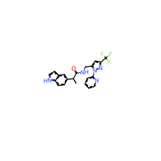 CC(C(=O)NCc1cc(C(F)(F)F)nn1-c1ccccn1)c1ccc2[nH]ccc2c1